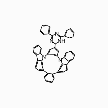 C1=CCCC(C2=NC(c3ccccc3)=NC(c3cc4cc(c3)n3c5ccccc5c5ccc(cc53)c3ccccc3c3ccc5c6ccccc6n4c5c3)N2)=C1